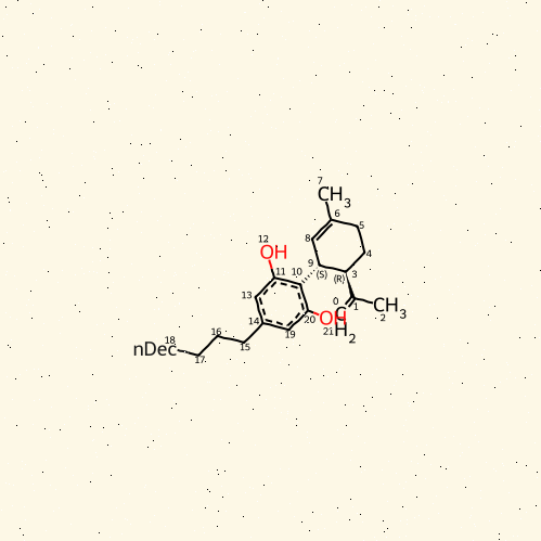 C=C(C)[C@@H]1CCC(C)=C[C@H]1c1c(O)cc(CCCCCCCCCCCCC)cc1O